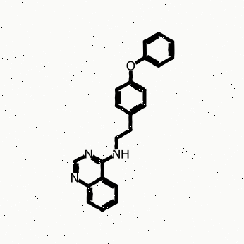 c1ccc(Oc2ccc(CCNc3ncnc4ccccc34)cc2)cc1